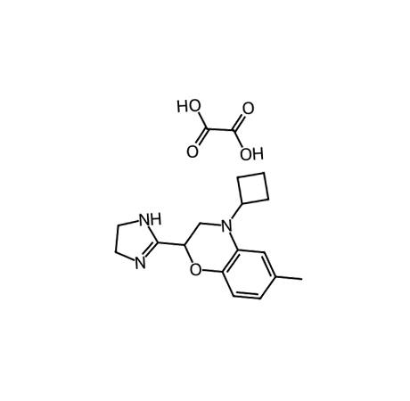 Cc1ccc2c(c1)N(C1CCC1)CC(C1=NCCN1)O2.O=C(O)C(=O)O